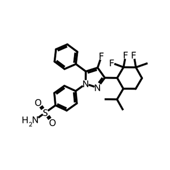 CC(C)C1CCC(C)(F)C(F)(F)C1c1nn(-c2ccc(S(N)(=O)=O)cc2)c(-c2ccccc2)c1F